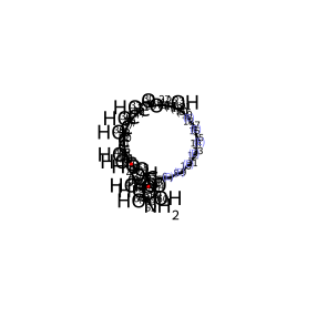 CC1O[C@@H](O[C@H]2/C=C/C=C/C=C/C=C/C=C/C=C/C=C/[C@H](C)[C@@H](O)[C@@H](C)[C@H](C)OC(=O)C[C@H](O)C[C@H](O)C[C@H](O)CC[C@@H](O)[C@H](O)C[C@]3(O)C[C@H](O)[C@@H](C(=O)O)[C@H](C2)O3)[C@@H](O)C(N)[C@@H]1O